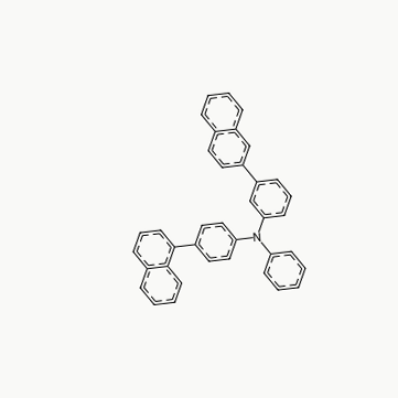 c1ccc(N(c2ccc(-c3cccc4ccccc34)cc2)c2cccc(-c3ccc4ccccc4c3)c2)cc1